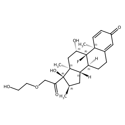 C[C@@H]1C[C@H]2[C@@H]3CCC4=CC(=O)C=C[C@]4(C)[C@@]3(F)[C@@H](O)C[C@]2(C)[C@@]1(O)C(=O)COCCO